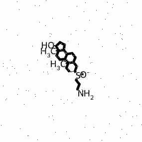 C[C@]12CC[C@@H]([S@@+]([O-])CCCN)CC1CCC1C2CC[C@@]2(C)C1CC[C@@H]2O